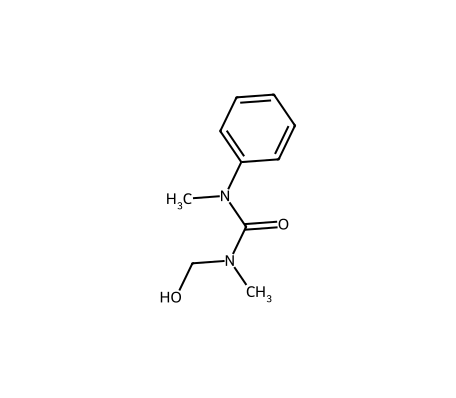 CN(CO)C(=O)N(C)c1ccccc1